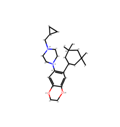 CC1(C)CC(c2cc3c(cc2N2CCN(CC4CC4)CC2)OCCO3)CC(C)(C)C1